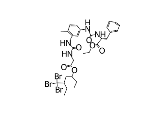 CCOC(=O)[C@H](Cc1ccccc1)NC(=O)Nc1ccc(C)c(NC(=O)NCC(=O)OC(CC)CC(CC)C(Br)(Br)Br)c1